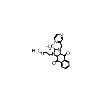 COCCN1C2C(=O)c3ccccc3C(=O)C2N(Cc2cnccn2)C1C